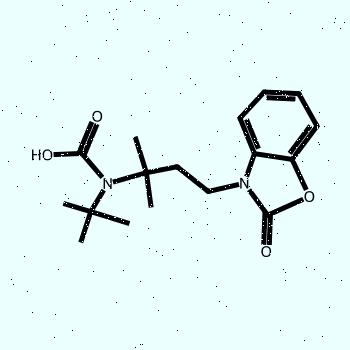 CC(C)(C)N(C(=O)O)C(C)(C)CCn1c(=O)oc2ccccc21